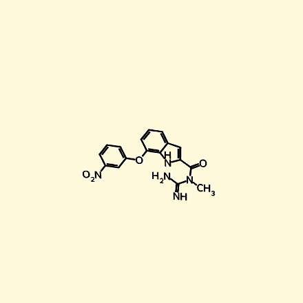 CN(C(=N)N)C(=O)c1cc2cccc(Oc3cccc([N+](=O)[O-])c3)c2[nH]1